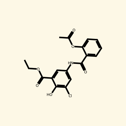 CCOC(=O)c1cc(NC(=O)c2ccccc2OC(C)=O)cc(Cl)c1O